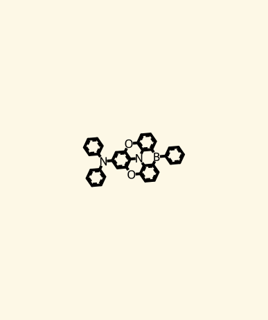 c1ccc(B2c3cccc4c3N3c5c(cc(N(c6ccccc6)c6ccccc6)cc5Oc5cccc2c53)O4)cc1